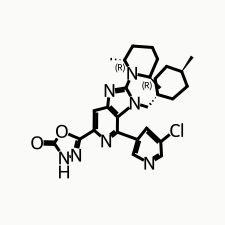 C[C@@H]1CCC[C@@H](C)N1c1nc2cc(-c3n[nH]c(=O)o3)nc(-c3cncc(Cl)c3)c2n1C[C@H]1CC[C@H](C)CC1